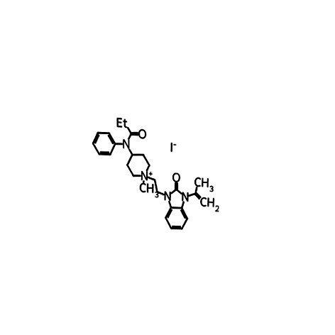 C=C(C)n1c(=O)n(CC[N+]2(C)CCC(N(C(=O)CC)c3ccccc3)CC2)c2ccccc21.[I-]